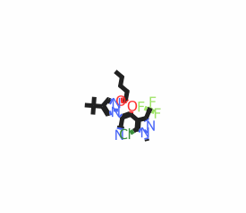 CCCCC(=O)O/C(=C(/C#N)n1cc(C(C)(C)C)cn1)c1c(C(F)(F)F)nn(C)c1Cl